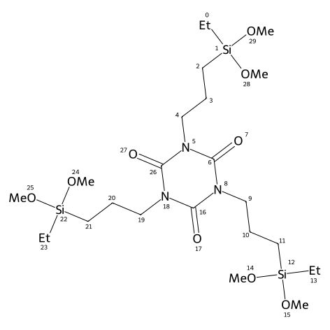 CC[Si](CCCn1c(=O)n(CCC[Si](CC)(OC)OC)c(=O)n(CCC[Si](CC)(OC)OC)c1=O)(OC)OC